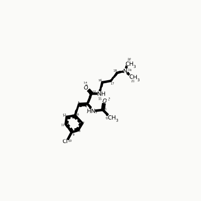 CC(=O)NC(=Cc1ccc(Cl)cc1)C(=O)NCCCN(C)C